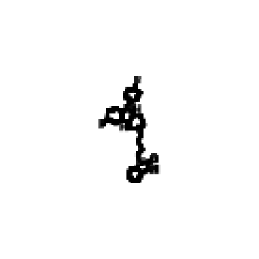 O=c1[nH]c2ccccc2n1CCCCN1CC[C@@H]2[C@@H](C1)c1cc(F)ccc1N2c1ccc(F)cc1